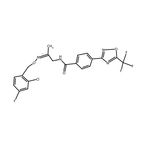 C/C(CNC(=O)c1ccc(-c2noc(C(F)(F)F)n2)cc1)=N/OCc1ccc(F)cc1Cl